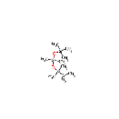 C[SiH2][Si](C)(C)O[Si](C)(C)O[Si](C)(C)C